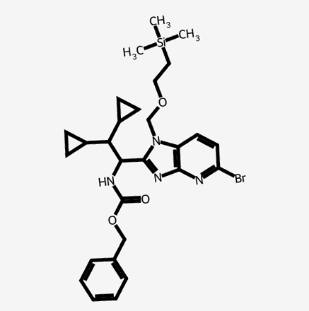 C[Si](C)(C)CCOCn1c(C(NC(=O)OCc2ccccc2)C(C2CC2)C2CC2)nc2nc(Br)ccc21